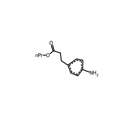 CCCOC(=O)CCc1ccc(N)cc1